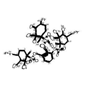 CC(C)C1CCC(C)(S(=O)(=O)Oc2cccc(OS(=O)(=O)C3(C)CCC(C(C)C)C(Cl)C3(Cl)Cl)c2OS(=O)(=O)C2(C)CCC(C(C)C)C(Cl)C2(Cl)Cl)C(Cl)(Cl)C1Cl